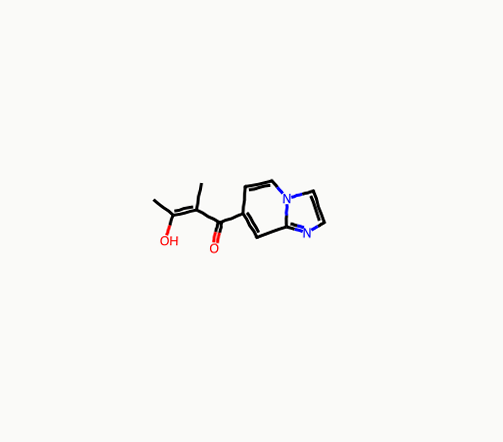 C/C(O)=C(\C)C(=O)c1ccn2ccnc2c1